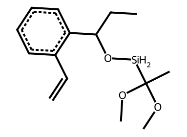 C=Cc1ccccc1C(CC)O[SiH2]C(C)(OC)OC